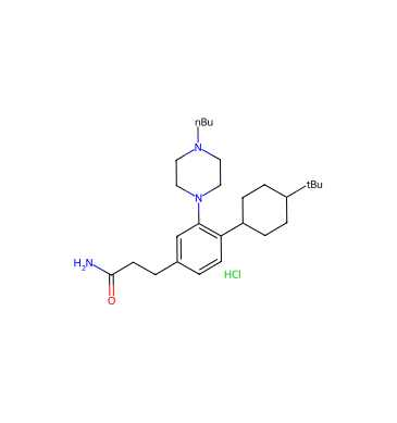 CCCCN1CCN(c2cc(CCC(N)=O)ccc2C2CCC(C(C)(C)C)CC2)CC1.Cl